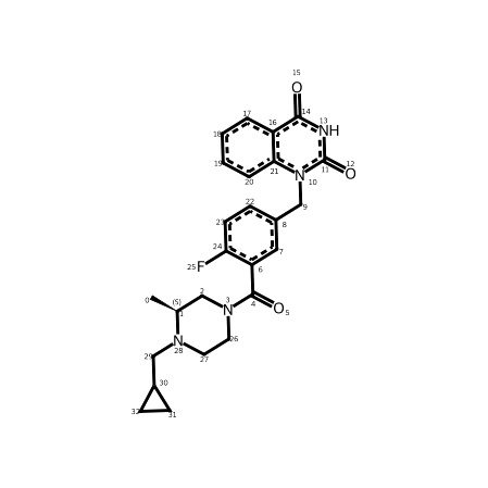 C[C@H]1CN(C(=O)c2cc(Cn3c(=O)[nH]c(=O)c4ccccc43)ccc2F)CCN1CC1CC1